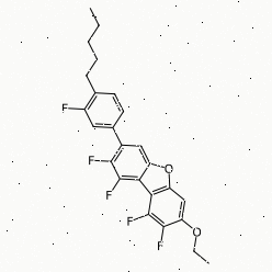 CCCCCc1ccc(-c2cc3oc4cc(OCC)c(F)c(F)c4c3c(F)c2F)cc1F